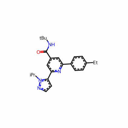 CCc1ccc(-c2cc(C(=O)NC(C)(C)C)cc(-c3ccnn3C(C)C)n2)cc1